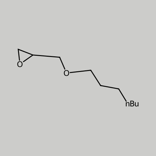 [CH2]CCCCCCOCC1CO1